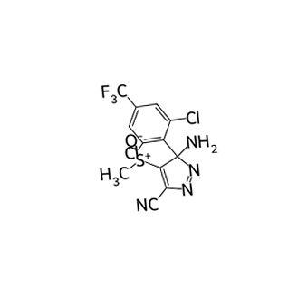 C[S+]([O-])C1=C(C#N)N=NC1(N)c1c(Cl)cc(C(F)(F)F)cc1Cl